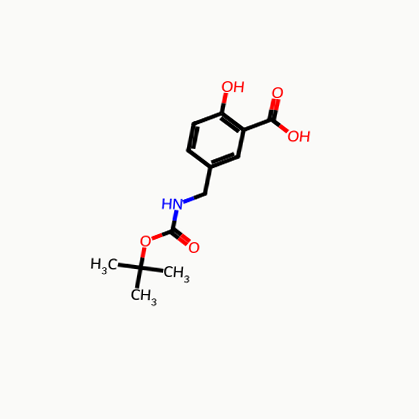 CC(C)(C)OC(=O)NCc1ccc(O)c(C(=O)O)c1